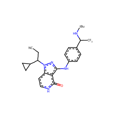 CC(C)(C)NC(c1ccc(Nc2nn(C(CC#N)C3CC3)c3cc[nH]c(=O)c23)cc1)C(F)(F)F